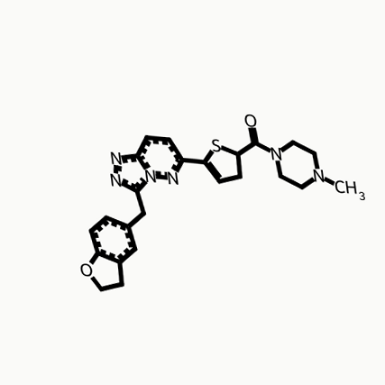 CN1CCN(C(=O)C2CC=C(c3ccc4nnc(Cc5ccc6c(c5)CCO6)n4n3)S2)CC1